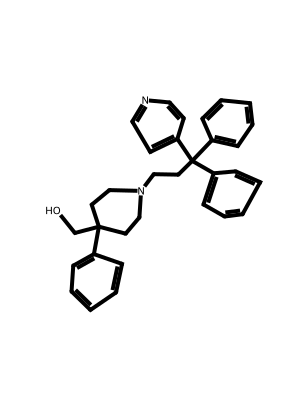 OCC1(c2ccccc2)CCN(CCC(c2ccccc2)(c2ccccc2)c2ccncc2)CC1